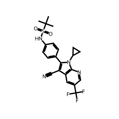 CC(C)(C)S(=O)(=O)Nc1ccc(-c2c(C#N)c3cc(C(F)(F)F)cnc3n2C2CC2)cc1